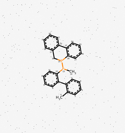 Cc1ccccc1-c1ccccc1P(C)P1Cc2ccccc2-c2ccccc21